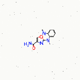 C=Nc1ccccc1N(C)c1nc(C(N)=O)co1